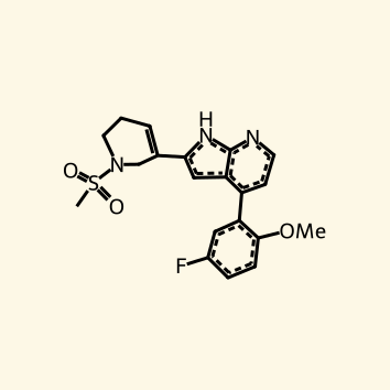 COc1ccc(F)cc1-c1ccnc2[nH]c(C3=CCCN(S(C)(=O)=O)C3)cc12